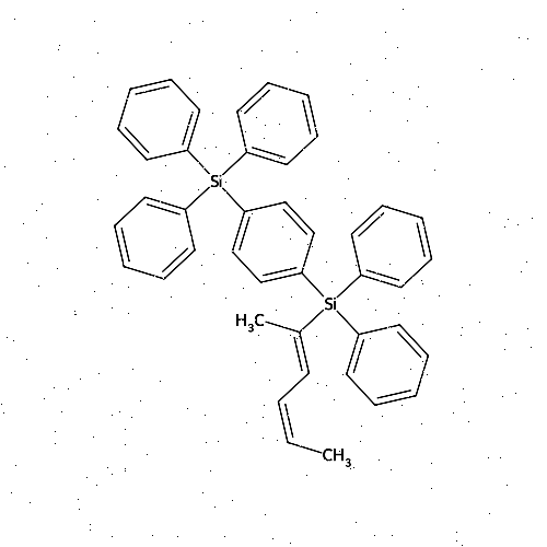 C/C=C\C=C(/C)[Si](c1ccccc1)(c1ccccc1)c1ccc([Si](c2ccccc2)(c2ccccc2)c2ccccc2)cc1